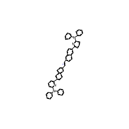 C(=C\c1ccc2cc(-c3cccc(N(c4ccccc4)c4ccccc4)n3)ccc2c1)/c1ccc2cc(-c3cccc(N(c4ccccc4)c4ccccc4)n3)ccc2c1